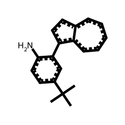 CC(C)(C)c1ccc(N)c(-c2ccc3cccccc2-3)c1